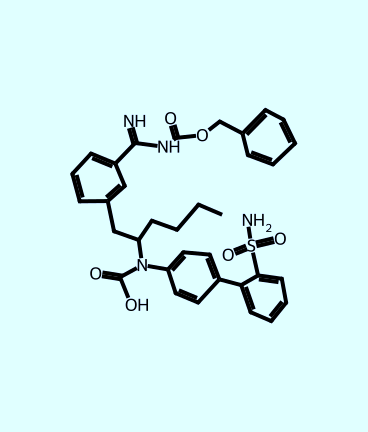 CCCCC(Cc1cccc(C(=N)NC(=O)OCc2ccccc2)c1)N(C(=O)O)c1ccc(-c2ccccc2S(N)(=O)=O)cc1